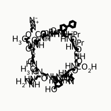 CCCCC[C@@H]1NC(=O)[C@H](CCCNC(=N)N)NC(=O)[C@H](C)NC(=O)CSC[C@@H](C(=O)NCC(C)COCCN=[N+]=[N-])NC(=O)[C@H](CC(=O)O)NC(=O)[C@H](CCCCC)NC(=O)[C@H](Cc2ccc(-c3ccccc3)cc2)NC(=O)[C@H](CC(C)C)NC(=O)[C@H](C(C)C)NC(=O)CNC(=O)[C@H](CC(=O)O)NC(=O)[C@H](Cc2cnc[nH]2)NC(=O)[C@H](Cc2ccc(O)cc2)NC1=O